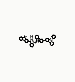 CC1(C)c2ccccc2-c2ccc(C(=N)c3ccccc3/N=C/n3c4c(c5cc(-c6ccc7c(c6)C6=CC=CCC6N7c6ccccc6)ccc53)CCC=C4)cc21